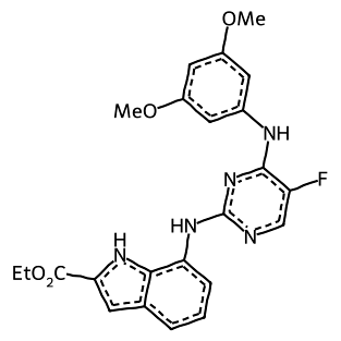 CCOC(=O)c1cc2cccc(Nc3ncc(F)c(Nc4cc(OC)cc(OC)c4)n3)c2[nH]1